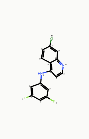 Fc1cc(F)cc(Nc2ccnc3cc(Cl)ccc23)c1